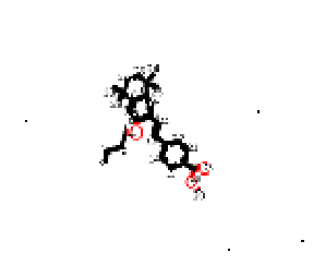 CCCCOc1cc2c(cc1C=Cc1ccc(C(=O)OC)cc1)C(C)(C)CCC2(C)C